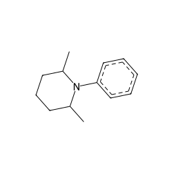 CC1CCCC(C)N1c1ccccc1